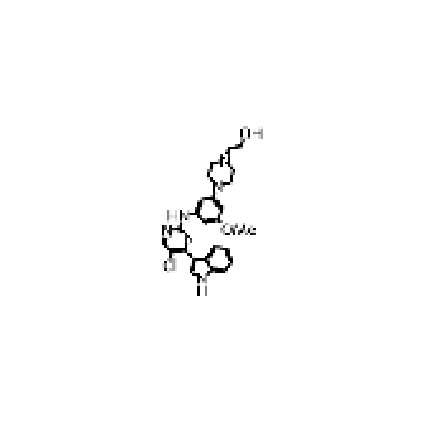 COc1cc(Nc2ncc(Cl)c(-c3c[nH]c4ccccc34)n2)cc(N2CCN(CCO)CC2)c1